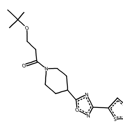 CC(C)(C)OCCC(=O)N1CCC(c2nc(-c3cccs3)no2)CC1